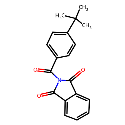 CC(C)(C)c1ccc(C(=O)N2C(=O)c3ccccc3C2=O)cc1